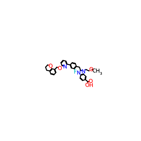 COCCn1c(Cc2ccc(-c3cccc(OCc4cccc5c4OCCC5)n3)cc2F)nc2ccc(C(=O)O)cc21